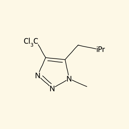 CC(C)Cc1c(C(Cl)(Cl)Cl)nnn1C